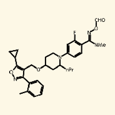 CCCC1CC(OCc2c(-c3ccccc3C)noc2C2CC2)CCN1c1ccc(/C(=N/OC=O)NC)c(F)c1